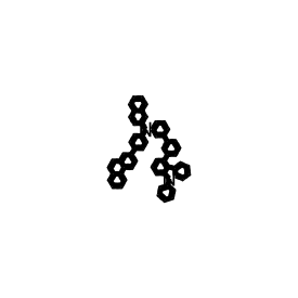 c1ccc(-n2c3ccccc3c3c(-c4cccc(-c5cccc(N(c6ccc(-c7ccc8c(ccc9ccccc98)c7)cc6)c6ccc7ccccc7c6)c5)c4)cccc32)cc1